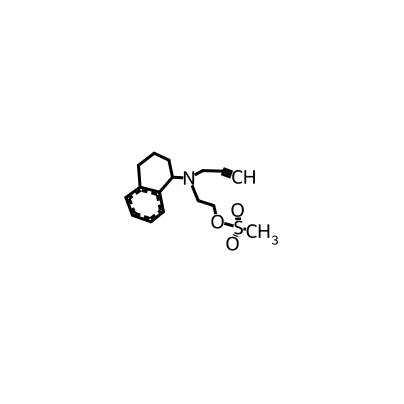 C#CCN(CCOS(C)(=O)=O)C1CCCc2ccccc21